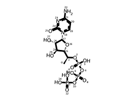 C[C@H](OP(=O)(O)OP(=O)(O)OP(=O)(O)O)[C@H]1O[C@@H](n2ccc(N)nc2=O)[C@@H](O)[C@@H]1O